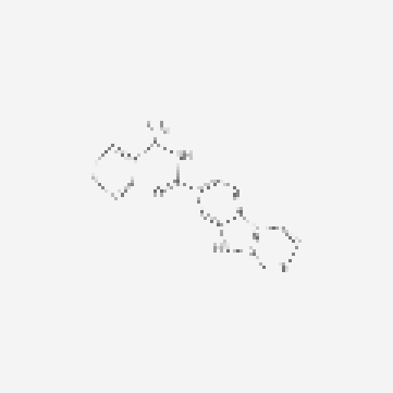 CC(NC(=O)c1ccc2c(c1)[nH]c1cnccc12)c1ccccc1